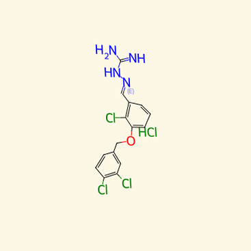 Cl.N=C(N)N/N=C/c1cccc(OCc2ccc(Cl)c(Cl)c2)c1Cl